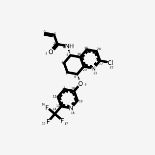 C=CC(=O)N[C@H]1CC[C@@H](Oc2ccc(C(F)(F)F)nc2)c2nc(Cl)ccc21